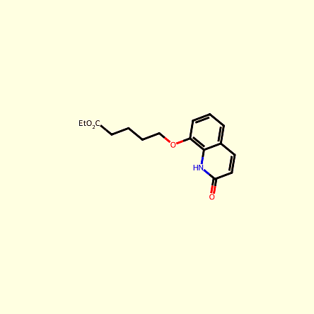 CCOC(=O)CCCCOc1cccc2ccc(=O)[nH]c12